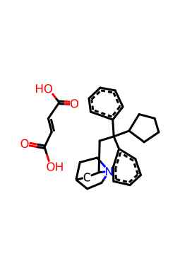 O=C(O)C=CC(=O)O.c1ccc(C(CC2CC3CCN2CC3)(c2ccccc2)C2CCCC2)cc1